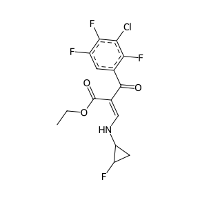 CCOC(=O)C(=CNC1CC1F)C(=O)c1cc(F)c(F)c(Cl)c1F